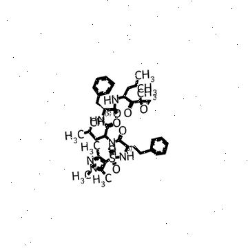 Cc1nn(C)c(C)c1S(=O)(=O)N[C@@H](CCc1ccccc1)C(=O)NC(CC(C)C)C(=O)N[C@@H](Cc1ccccc1)C(=O)NC(CC(C)C)C(=O)C1(C)CO1